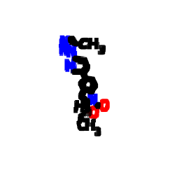 CC[C@@H]1OC(=O)N2c3ccc(-c4ccc(-n5nncc5C)nc4)cc3C[C@@H]12